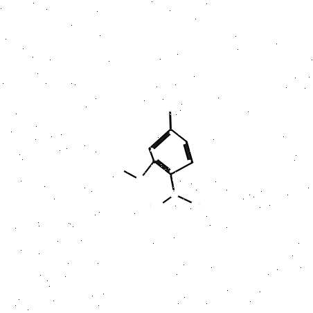 CSc1cc(Cl)ccc1B(O)O